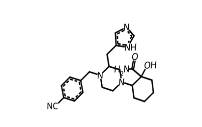 N#Cc1ccc(CN2CCN(C3CCCCC3(O)C(N)=O)CC2Cc2cnc[nH]2)cc1